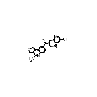 Nc1nc2ccc(C(=O)N(Cc3ccc(C(F)(F)F)cn3)CC3CC3)cc2c2c1COC2